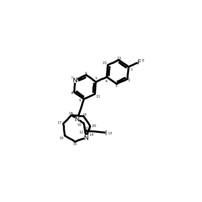 Fc1ccc(-c2cncc(N3CC(I)N4CCCC3CC4)c2)cc1